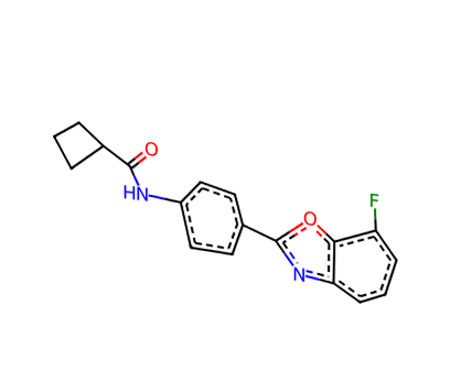 O=C(Nc1ccc(-c2nc3cccc(F)c3o2)cc1)C1CCC1